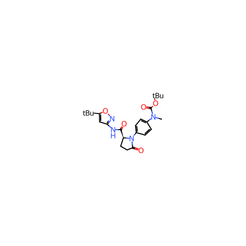 CN(C(=O)OC(C)(C)C)c1ccc(N2C(=O)CC[C@H]2C(=O)Nc2cc(C(C)(C)C)on2)cc1